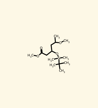 COC(=O)CC(CC(C)OC)O[Si](C)(C)C(C)(C)C